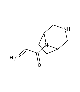 C=CC(=O)N1C2CCC1CNC2